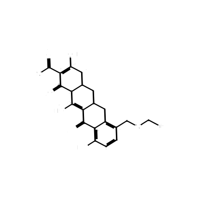 CCC(C)CNCc1ccc(O)c2c1CC1CC3CC(O)=C(C(N)=O)C(=O)C3C(O)=C1C2=O